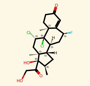 C[C@@H]1C[C@H]2[C@@H]3C[C@H](F)C4=CC(=O)CC[C@]4(C)[C@@]3(Cl)[C@@H](Cl)C[C@]2(C)[C@@]1(O)C(=O)CO